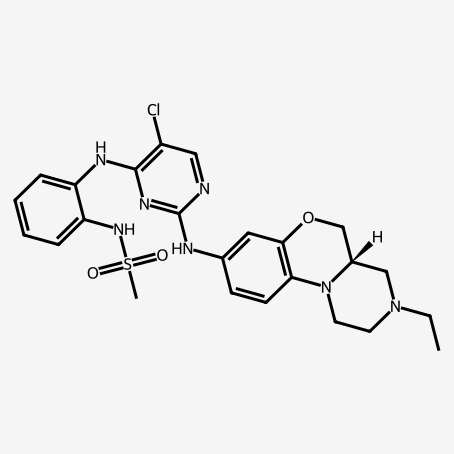 CCN1CCN2c3ccc(Nc4ncc(Cl)c(Nc5ccccc5NS(C)(=O)=O)n4)cc3OC[C@@H]2C1